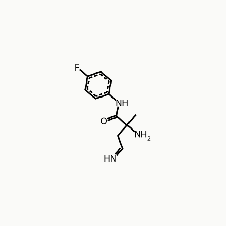 CC(N)(CC=N)C(=O)Nc1ccc(F)cc1